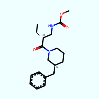 CC[C@H](CNC(=O)OC)C(=O)N1CCC[C@@H](Cc2ccccc2)C1